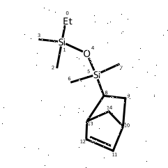 CC[Si](C)(C)O[Si](C)(C)C1CC2C=CC1C2